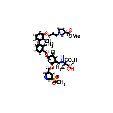 COC(=O)C1CCN(CCCOc2cccc(-c3cccc(COc4cc(OCc5cncc(S(C)(=O)=O)c5)c(CNC(C)(CO)C(=O)O)cc4Cl)c3C)c2C)C1